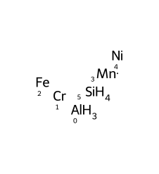 [AlH3].[Cr].[Fe].[Mn].[Ni].[SiH4]